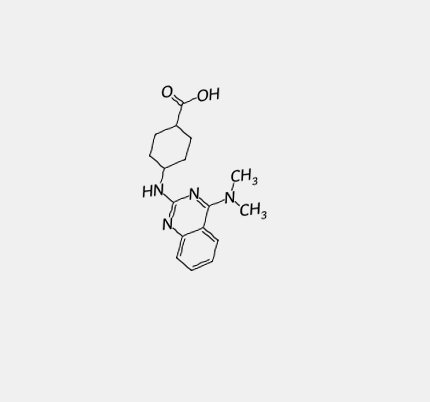 CN(C)c1nc(NC2CCC(C(=O)O)CC2)nc2ccccc12